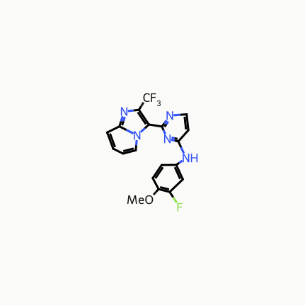 COc1ccc(Nc2ccnc(-c3c(C(F)(F)F)nc4ccccn34)n2)cc1F